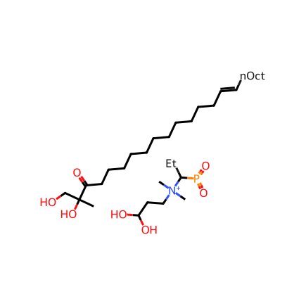 CCC(P(=O)=O)[N+](C)(C)CCC(O)O.CCCCCCCCC=CCCCCCCCCCCCC(=O)C(C)(O)CO